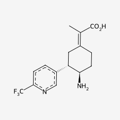 CC(C(=O)O)=C1CC[C@@H](N)[C@H](c2ccc(C(F)(F)F)nc2)C1